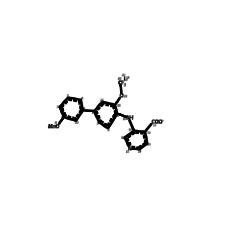 COc1cccc(-c2ccc(Nc3cnccc3C(=O)[O-])c(OC(F)(F)F)c2)c1.[Li+]